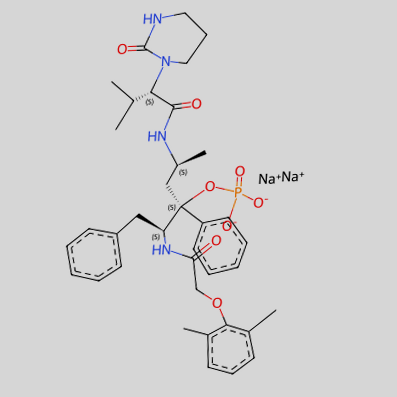 Cc1cccc(C)c1OCC(=O)N[C@@H](Cc1ccccc1)[C@@](C[C@H](C)NC(=O)[C@H](C(C)C)N1CCCNC1=O)(OP(=O)([O-])[O-])c1ccccc1.[Na+].[Na+]